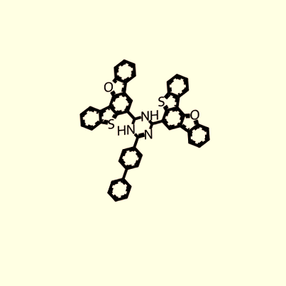 c1ccc(-c2ccc(C3=NC(c4cc5c6ccccc6oc5c5c4sc4ccccc45)NC(c4cc5c6ccccc6oc5c5c4sc4ccccc45)N3)cc2)cc1